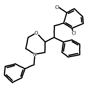 Clc1cccc(Cl)c1CC(c1ccccc1)C1CN(Cc2ccccc2)CCO1